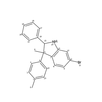 Cc1ccc(C2(C)c3ccc(Br)cc3NC2c2ccccc2)cc1